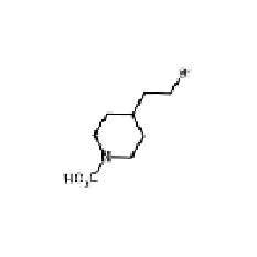 O=C(O)N1CCC(CCBr)CC1